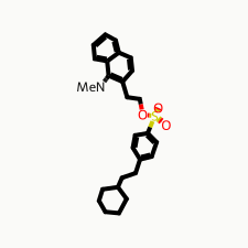 CNc1c(CCOS(=O)(=O)c2ccc(CCC3CCCCC3)cc2)ccc2ccccc12